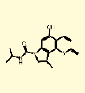 C=CSc1c(C=C)c(O)cc2c1C(C)CN2C(=O)BC(C)C